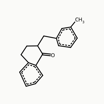 Cc1cccc(CC2CCc3ccccc3C2=O)c1